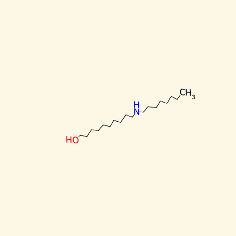 CCCCCCCCNCCCCCCCCCCO